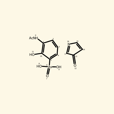 CC(=O)Nc1cccc([As](=O)(O)O)c1O.O=C1C=CN=C1